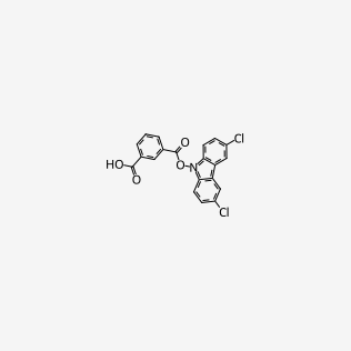 O=C(O)c1cccc(C(=O)On2c3ccc(Cl)cc3c3cc(Cl)ccc32)c1